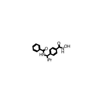 CC(C)C(NC(=O)c1ccccc1)c1ccc(C(=O)NO)cc1